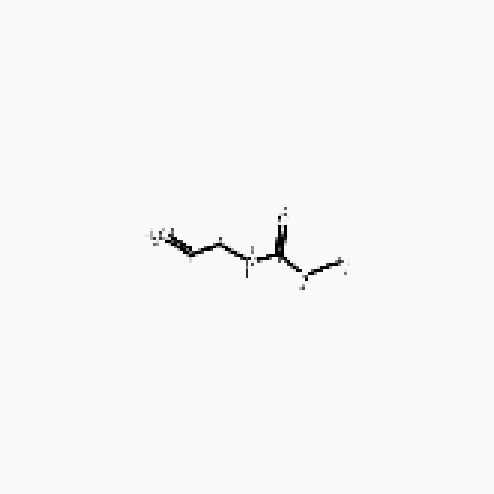 C=CCNC(=O)SCC